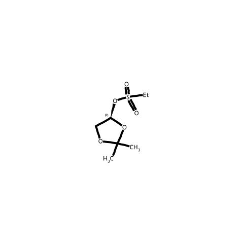 CCS(=O)(=O)O[C@@H]1COC(C)(C)O1